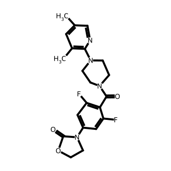 Cc1cnc(N2CCN(C(=O)c3c(F)cc(N4CCOC4=O)cc3F)CC2)c(C)c1